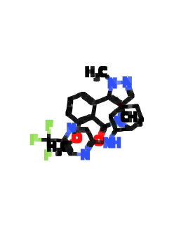 COc1cccc(-c2c(C)cnn2C)c1C(=O)N1C2CCC1C(Nc1cnc(C(F)(F)F)cn1)C2